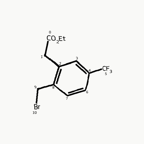 CCOC(=O)Cc1cc(C(F)(F)F)ccc1CBr